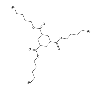 CC(C)CCCCOC(=O)C1CC(C(=O)OCCCCC(C)C)CC(C(=O)OCCCCC(C)C)C1